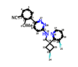 COc1c(C#N)cccc1-c1ccc(NC[C@]2(c3ncccc3F)C[C@H](F)C2)nn1